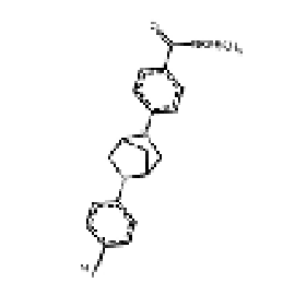 Cc1ccc(N2CC3CC2CN3c2ccc(C(=O)N(C)O)cc2)cc1